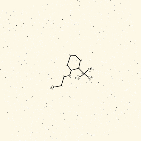 CCCSC1CCCCC1C(C)(C)C